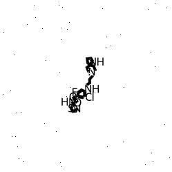 O=S(=O)(Nc1nccs1)c1cc(Cl)c(NCCCCN2CCC3(CCCN3)CC2)cc1F